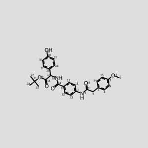 COc1ccc(CC(=O)Nc2ccc(C(=O)NC(C(=O)OC(C)(C)C)c3ccc(O)cc3)cc2)cc1